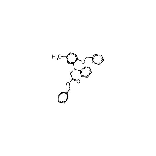 Cc1ccc(OCc2ccccc2)c([C@H](CC(=O)OCc2ccccc2)c2ccccc2)c1